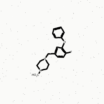 O=C(O)N1CCN(Cc2ccc(F)c(Oc3ccccc3)c2)CC1